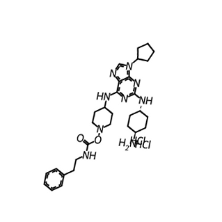 Cl.Cl.N[C@H]1CC[C@H](Nc2nc(NC3CCN(OC(=O)NCCc4ccccc4)CC3)c3ncn(C4CCCC4)c3n2)CC1